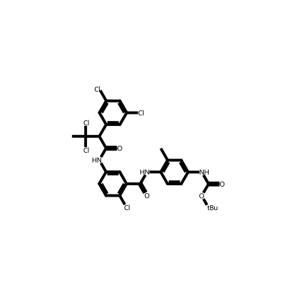 Cc1cc(NC(=O)OC(C)(C)C)ccc1NC(=O)c1cc(NC(=O)C(c2cc(Cl)cc(Cl)c2)C(C)(Cl)Cl)ccc1Cl